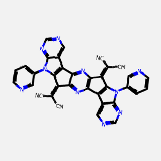 N#CC(C#N)=C1c2nc3c(nc2-c2c1n(-c1cccnc1)c1ncncc21)C(=C(C#N)C#N)c1c-3c2cncnc2n1-c1cccnc1